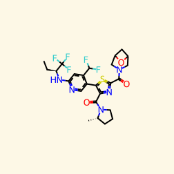 CC[C@H](Nc1cc(C(F)F)c(-c2sc(C(=O)N3CC4CC(C3)O4)nc2C(=O)N2CCC[C@@H]2C)cn1)C(F)(F)F